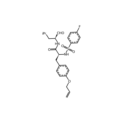 C=CCOc1ccc(C[C@H](NS(=O)(=O)c2ccc(F)cc2)C(=O)N[C@H](C=O)CC(C)C)cc1